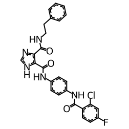 O=C(Nc1ccc(NC(=O)c2[nH]cnc2C(=O)NCCc2ccccc2)cc1)c1ccc(F)cc1Cl